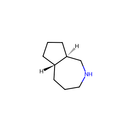 C1CNC[C@@H]2CCC[C@H]2C1